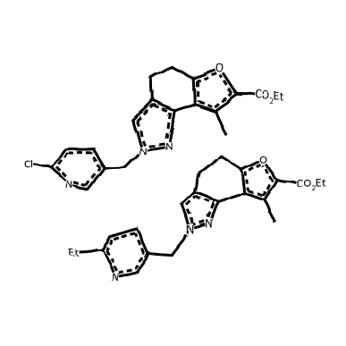 CCOC(=O)c1oc2c(c1C)-c1nn(Cc3ccc(CC)nc3)cc1CC2.CCOC(=O)c1oc2c(c1C)-c1nn(Cc3ccc(Cl)nc3)cc1CC2